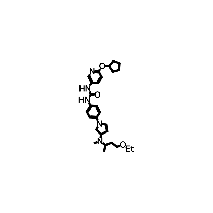 CCOCCC(C)N(C)C1CCN(c2ccc(NC(=O)Nc3ccc(OC4CCCC4)nc3)cc2)C1